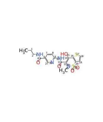 CCCNC(=O)c1ccc(NC(=O)C2=C(O)c3sccc3S(=O)(=O)N2C)nc1